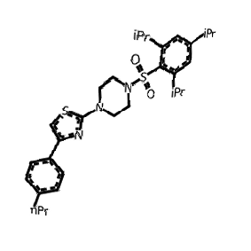 CCCc1ccc(-c2csc(N3CCN(S(=O)(=O)c4c(C(C)C)cc(C(C)C)cc4C(C)C)CC3)n2)cc1